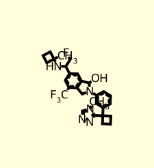 Cn1cnnc1C1(c2cccc(N3Cc4c(cc(C(CF)NC5(C)CCC5)cc4C(F)(F)F)C3O)c2)CCC1